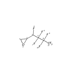 FC(C1CO1)C(F)(F)C(F)(F)C(F)(F)F